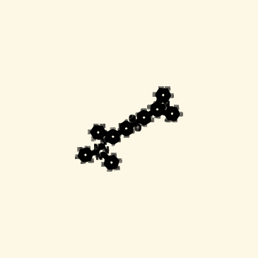 O=S(=O)(c1ccc(-c2ccc3c(c2)c2ccccc2n3-c2nc(-c3ccccc3)nc(-c3ccccc3)n2)cc1)c1ccc(-c2cc3c4ccccc4n4c5ccccc5c(c2)c34)cc1